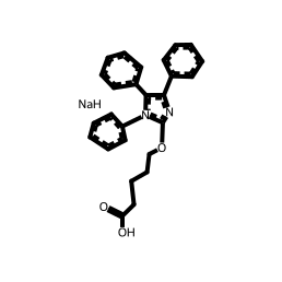 O=C(O)CCCCOc1nc(-c2ccccc2)c(-c2ccccc2)n1-c1ccccc1.[NaH]